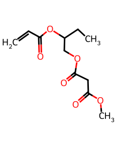 C=CC(=O)OC(CC)COC(=O)CC(=O)OC